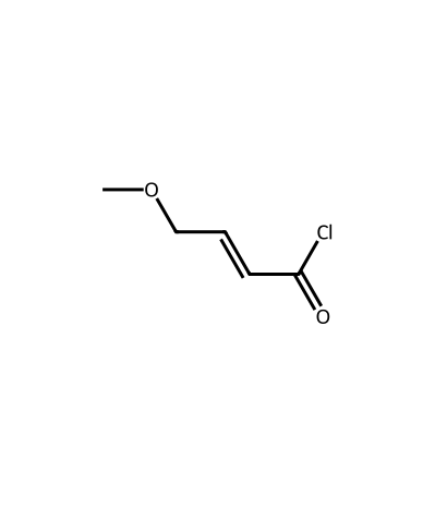 COC/C=C/C(=O)Cl